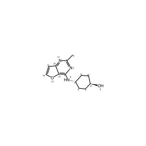 Cc1nc(N[C@H]2CC[C@H](O)CC2)c2occc2n1